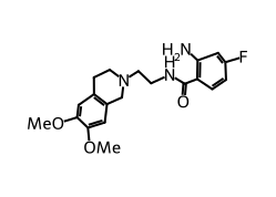 COc1cc2c(cc1OC)CN(CCNC(=O)c1ccc(F)cc1N)CC2